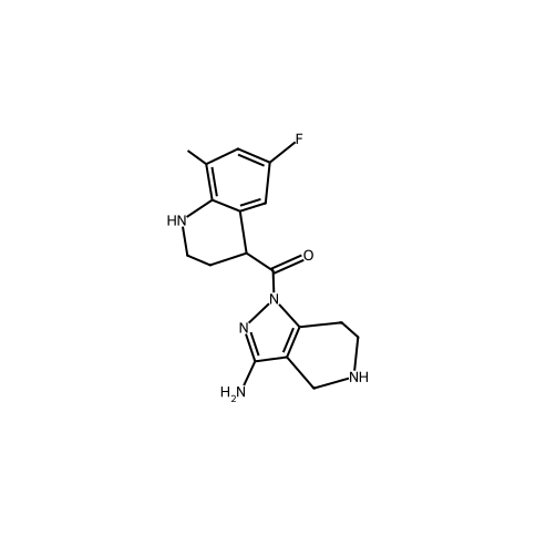 Cc1cc(F)cc2c1NCCC2C(=O)n1nc(N)c2c1CCNC2